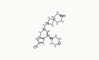 Clc1cc2c(o1)CN(CN1CC3(CCNCC3)C1)C=C2N1CCOCC1